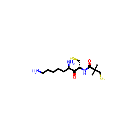 CC(C)(CS)C(=O)N[C@@H](CS)C(=O)C(N)CCCCCN